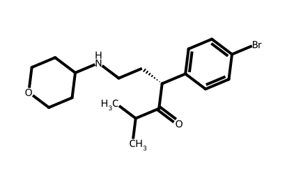 CC(C)C(=O)[C@H](CCNC1CCOCC1)c1ccc(Br)cc1